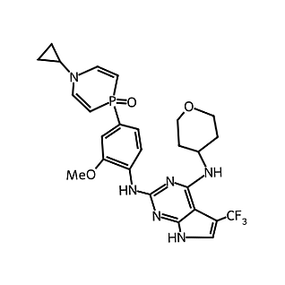 COc1cc(P2(=O)C=CN(C3CC3)C=C2)ccc1Nc1nc(NC2CCOCC2)c2c(C(F)(F)F)c[nH]c2n1